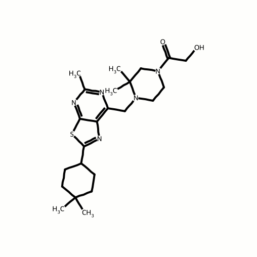 Cc1nc(CN2CCN(C(=O)CO)CC2(C)C)c2nc(C3CCC(C)(C)CC3)sc2n1